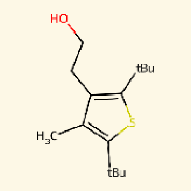 Cc1c(C(C)(C)C)sc(C(C)(C)C)c1CCO